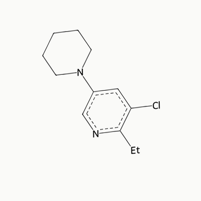 CCc1ncc(N2CCCCC2)cc1Cl